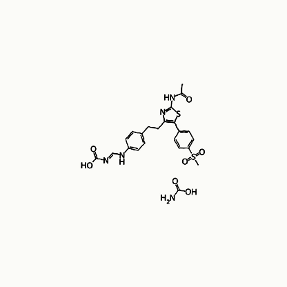 CC(=O)Nc1nc(CCc2ccc(NC=NC(=O)O)cc2)c(-c2ccc(S(C)(=O)=O)cc2)s1.NC(=O)O